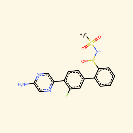 CS(=O)(=O)N[S+]([O-])c1ccccc1-c1ccc(-c2cnc(N)cn2)c(F)c1